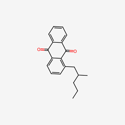 CCCC(C)Cc1cccc2c1C(=O)c1ccccc1C2=O